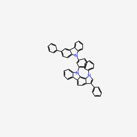 c1ccc(-c2ccc3c(c2)c2ccccc2n3-c2cccc(-n3c4ccccc4c4ccc5c(-c6ccccc6)cn(-c6ccccc6)c5c43)c2)cc1